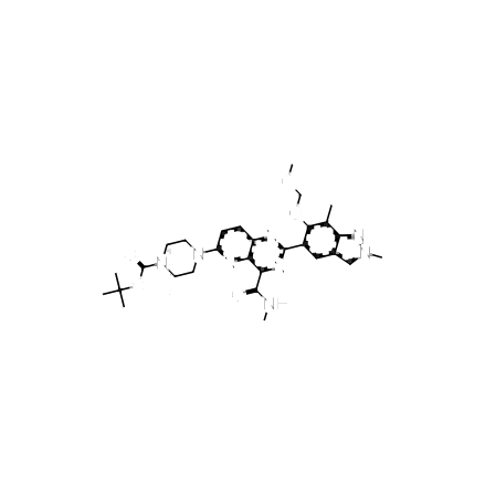 CNC(=O)c1nc(-c2cc3cn(C)nc3c(C)c2OCOC)nc2ccc(N3C[C@@H](C)N(C(=O)OC(C)(C)C)[C@@H](C)C3)nc12